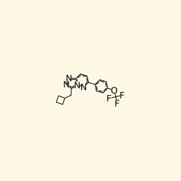 FC(F)(F)Oc1ccc(-c2ccc3nnc(CC4CCC4)n3n2)cc1